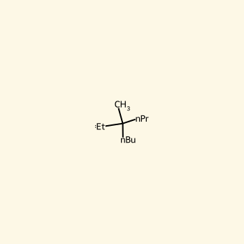 C[C]C(C)(CCC)CCCC